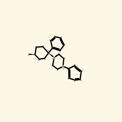 C[C@H]1CC[C@@](c2ccccc2)(N2CCN(c3ccccc3)CC2)CC1